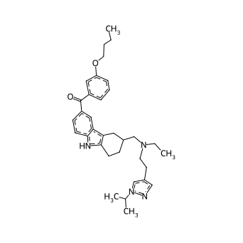 CCCCOc1cccc(C(=O)c2ccc3[nH]c4c(c3c2)CC(CN(CC)CCc2cnn(C(C)C)c2)CC4)c1